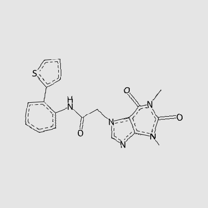 Cn1c(=O)c2c(ncn2CC(=O)Nc2ccccc2-c2cccs2)n(C)c1=O